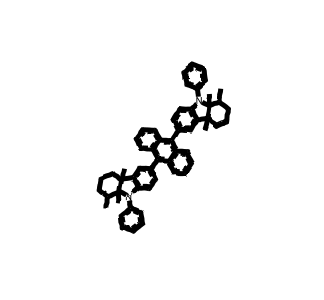 CC1CCCC2(C)c3cc(-c4c5ccccc5c(-c5ccc6c(c5)C5(C)CCCC(C)C5(C)N6c5ccccc5)c5ccccc45)ccc3N(c3ccccc3)C12C